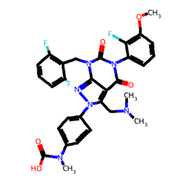 COc1cccc(-n2c(=O)c3c(CN(C)C)n(-c4ccc(N(C)C(=O)O)cc4)nc3n(Cc3c(F)cccc3F)c2=O)c1F